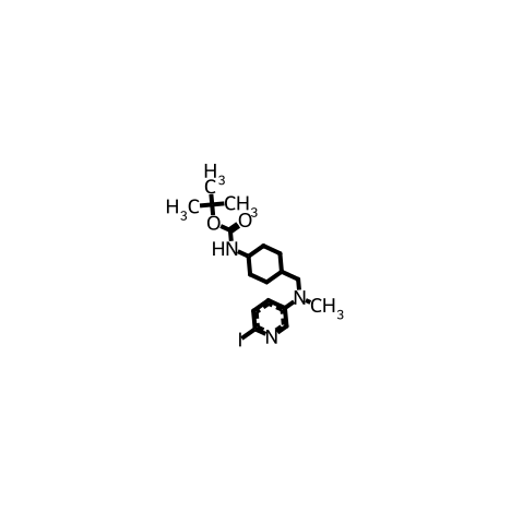 CN(CC1CCC(NC(=O)OC(C)(C)C)CC1)c1ccc(I)nc1